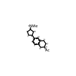 CNC1CCC(c2ccc3c(c2)CCC(C(C)=O)C3)C1